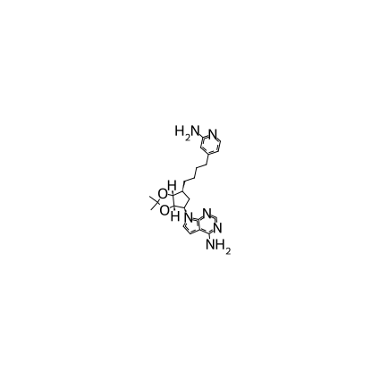 CC1(C)O[C@@H]2[C@@H](CCCCc3ccnc(N)c3)C[C@@H](n3ccc4c(N)ncnc43)[C@@H]2O1